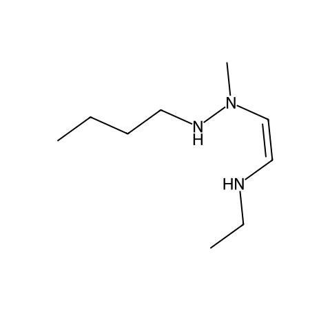 CCCCNN(C)/C=C\NCC